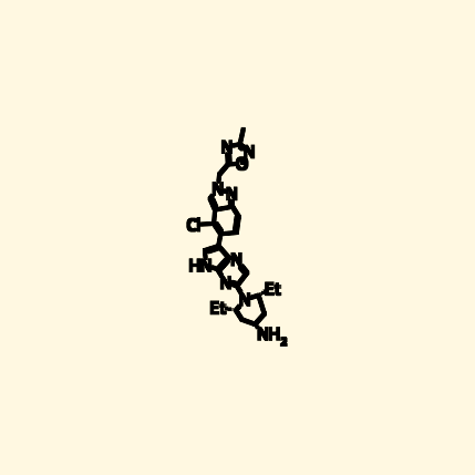 CC[C@@H]1C[C@H](N)C[C@H](CC)N1c1cnc2c(-c3ccc4nn(Cc5nc(C)no5)cc4c3Cl)c[nH]c2n1